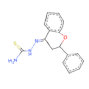 NC(=S)NN=C1CC(c2ccccc2)Oc2ccccc21